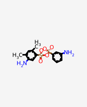 Cc1cc(C)c(S(=O)(=O)OS(=O)(=O)c2cccc(N)c2)cc1N